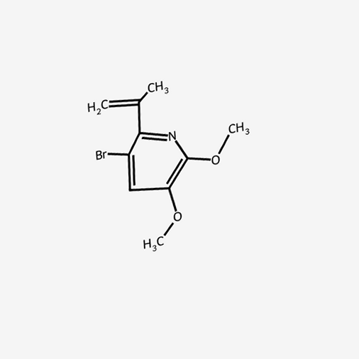 C=C(C)c1nc(OC)c(OC)cc1Br